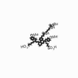 COc1ccc2c(c1)CC(/C=C/C1=C(c3ccc(CCC(=O)NCCCCCNC(=O)OC(C)(C)C)cc3)C(=C/C=C3/N(CCCCS(=O)(=O)O)c4ccc(OC)cc4C3(C)C)/CCC1)=[N+]2CCCCS(=O)(=O)O